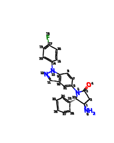 N[C@@H]1CC(=O)N(c2ccc3c(cnn3-c3ccc(F)cc3)c2)[C@H]1c1ccccc1